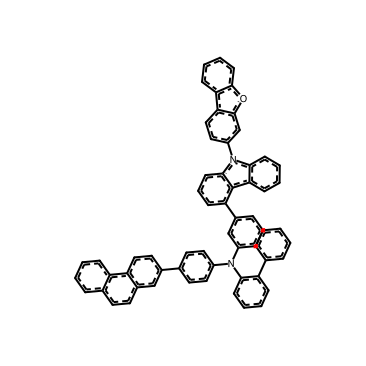 c1ccc(-c2ccccc2N(c2ccc(-c3ccc4c(ccc5ccccc54)c3)cc2)c2cccc(-c3cccc4c3c3ccccc3n4-c3ccc4c(c3)oc3ccccc34)c2)cc1